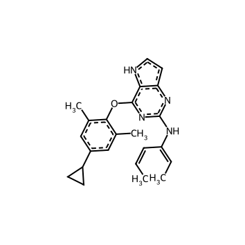 C/C=C\C(=C/C)Nc1nc(Oc2c(C)cc(C3CC3)cc2C)c2[nH]ccc2n1